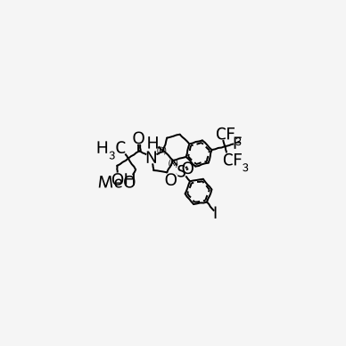 COCC(C)(CO)C(=O)N1CC[C@@]2(S(=O)(=O)c3ccc(I)cc3)c3ccc(C(F)(C(F)(F)F)C(F)(F)F)cc3CC[C@@H]12